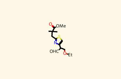 CCOCC(C=O)c1csc(CC(C)(C)C(=O)OC)n1